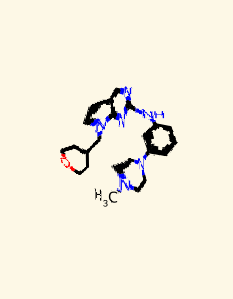 CN1CCN(c2cccc(Nc3ncc4ccn(CC5CCOCC5)c4n3)c2)CC1